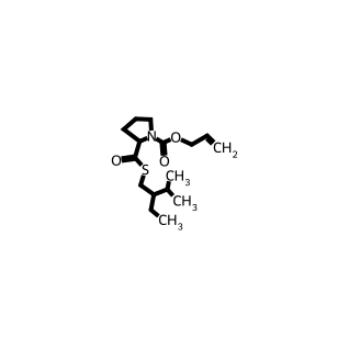 C=CCOC(=O)N1CCCC1C(=O)SCC(CC)C(C)C